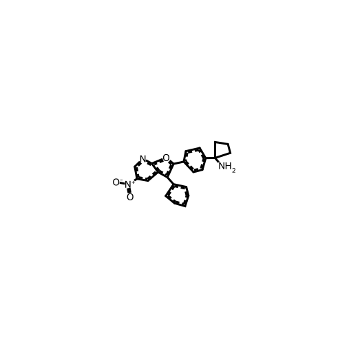 NC1(c2ccc(-c3oc4ncc([N+](=O)[O-])cc4c3-c3ccccc3)cc2)CCC1